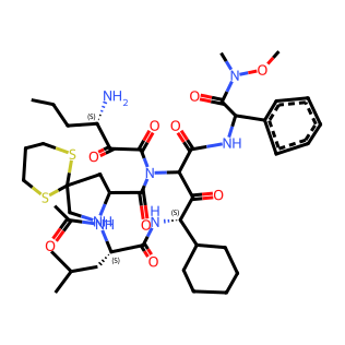 CCC[C@H](N)C(=O)C(=O)N(C(=O)C1CC2(CN1)SCCCS2)C(C(=O)NC(C(=O)N(C)OC)c1ccccc1)C(=O)[C@@H](NC(=O)[C@H](CC(C)C)NC(C)=O)C1CCCCC1